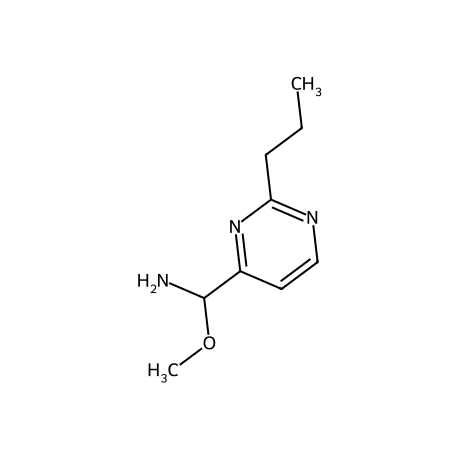 CCCc1nccc(C(N)OC)n1